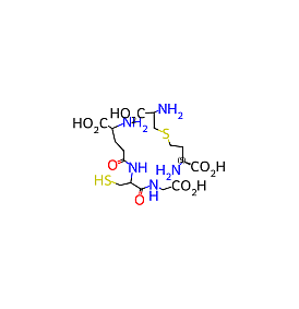 NC(CCC(=O)NC(CS)C(=O)NCC(=O)O)C(=O)O.NC(CSCC[C@H](N)C(=O)O)C(=O)O